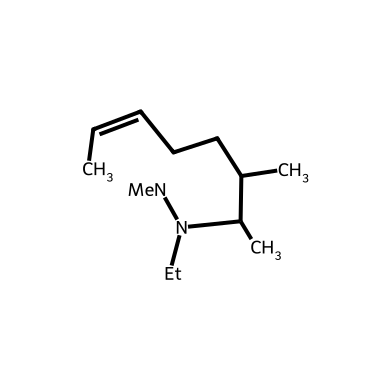 C/C=C\CCC(C)C(C)N(CC)NC